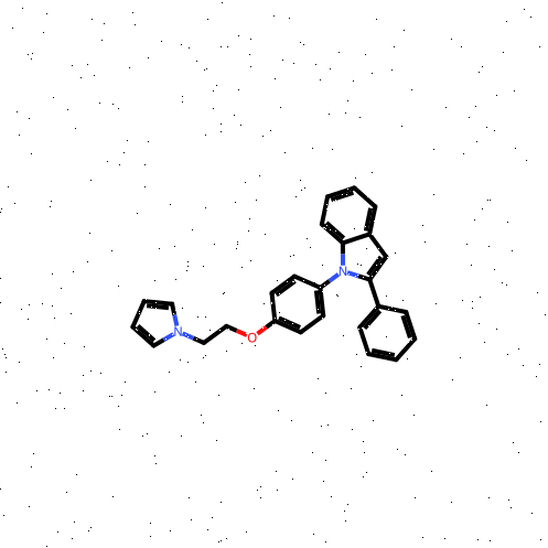 c1ccc(-c2cc3ccccc3n2-c2ccc(OCCn3cccc3)cc2)cc1